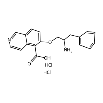 Cl.Cl.NC(COc1ccc2cnccc2c1C(=O)O)Cc1ccccc1